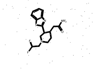 NC(=O)CC1CCN(CC(F)F)CC1c1nc2ccccc2s1